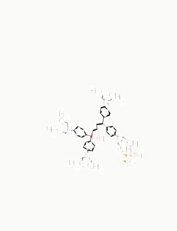 CCN(CC)c1ccc(C(=C/C=C/C(O)(c2ccc(N(CC)CC)cc2)c2ccc(N(CC)CC)cc2)c2ccc(N(CC)CC)cc2)cc1.O=S(=O)(O)C(F)(F)F